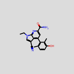 CCn1cc(C#N)c2c(-c3c(C)ccc(O)c3C)cc(C(N)=O)nc21